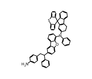 Nc1ccc(CC(c2ccccc2)c2ccc3oc4c(N(C5=CC6=C(CC5)c5ccccc5C65c6ccccc6Sc6ccccc65)c5ccccc5)cccc4c3c2)cc1